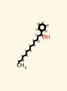 CCCCCCCCCCCCC(O)c1ccccc1